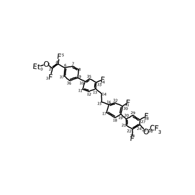 CCO/C(F)=C(\F)c1ccc(-c2ccc(CCc3ccc(-c4cc(F)c(OC(F)(F)F)c(F)c4)c(F)c3)c(F)c2)cc1